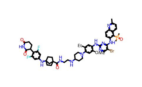 CCc1cc(Nc2ncc(Br)c(Nc3ccc4nc(C)ccc4c3P(C)(C)=O)n2)c(OC)cc1N1CCC(NCCNC(=O)C23CCC(Nc4cc(F)c(C5CCC(=O)NC5=O)c(F)c4)(CC2)C3)CC1